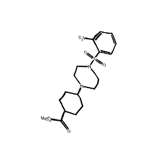 COC(=O)C1CCC(N2CCN(S(=O)(=O)c3ccccc3[N+](=O)[O-])CC2)CC1